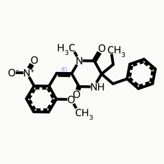 CCC1(Cc2ccccc2)NC(=O)/C(=C\c2c(OC)cccc2[N+](=O)[O-])N(C)C1=O